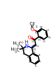 CC1(C)Cc2ccccc2/C(=C/C(=O)c2ccccc2OC(F)(F)F)N1